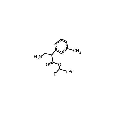 CCCC(F)OC(=O)C(CN)c1cccc(C)c1